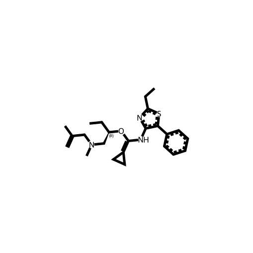 C=C(C)CN(C)C[C@@H](CC)OC(Nc1nc(CC)sc1-c1ccccc1)=C1CC1